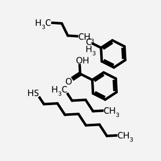 CCCC.CCCCC.CCCCCCCCS.Cc1ccccc1.O=C(O)c1ccccc1